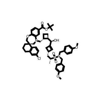 COc1ccc(CN(Cc2ccc(OC)cc2)S(=O)(=O)[C@H](C)C[C@H]2C=C([C@H](O)[C@@H]3CC[C@H]3CN3C[C@@]4(CCCc5cc(Cl)ccc54)COc4ccc(C(=O)OC(C)(C)C)cc43)C2)cc1